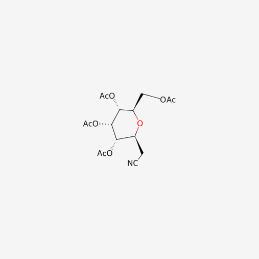 CC(=O)OC[C@H]1O[C@@H](CC#N)[C@H](OC(C)=O)[C@H](OC(C)=O)[C@@H]1OC(C)=O